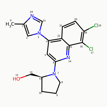 Cc1cn(-c2cc(N3CCC[C@H]3CO)nc3c(Cl)c(Cl)ccc23)cn1